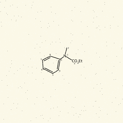 CCOC(=O)N(C)c1cc[c]cc1